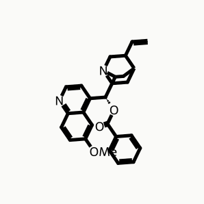 C=CC1CN2CCC1CC2[C@H](OC(=O)c1ccccc1)c1ccnc2ccc(OC)cc12